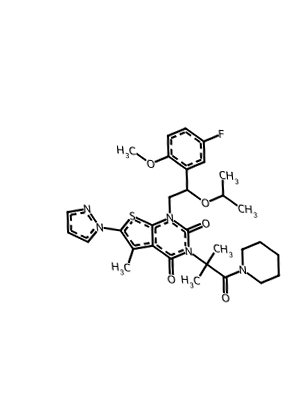 COc1ccc(F)cc1C(Cn1c(=O)n(C(C)(C)C(=O)N2CCCCC2)c(=O)c2c(C)c(-n3cccn3)sc21)OC(C)C